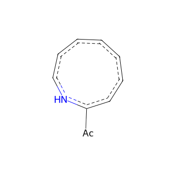 CC(=O)c1ccccccc[nH]1